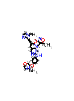 Cc1oncc1Cn1c(=O)c(C#Cc2nccn2C)cc2cnc(Nc3ccc(OC4COCCN4C)cc3)nc21